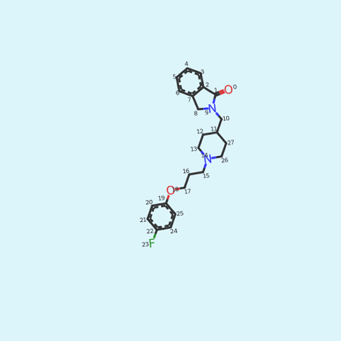 O=C1c2ccccc2CN1CC1CCN(CCCOc2ccc(F)cc2)CC1